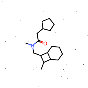 CC1C2CCCCC2C1CN(C)C(=O)CC1CCCC1